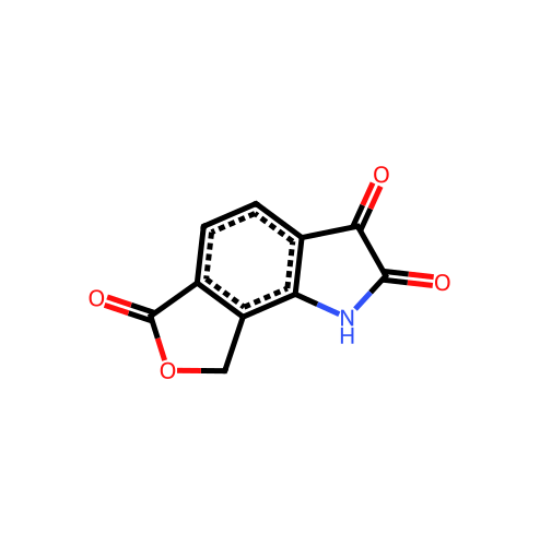 O=C1Nc2c(ccc3c2COC3=O)C1=O